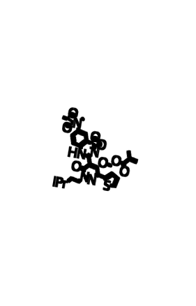 C=C(C)C(=O)OCOc1c(-c2cccs2)nn(CCC(C)C)c(=O)c1C1=NS(=O)(=O)c2cc(N(C)S(C)(=O)=O)ccc2N1